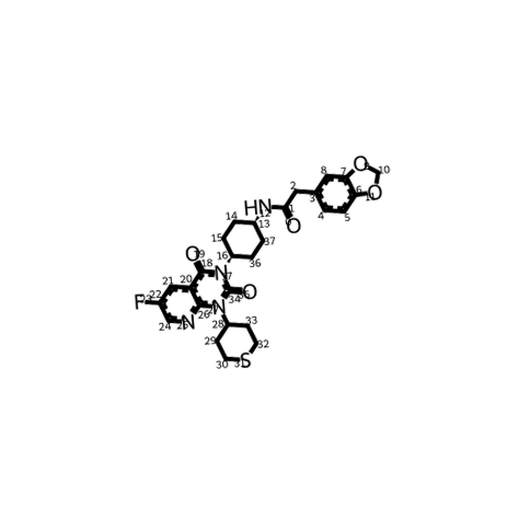 O=C(Cc1ccc2c(c1)OCO2)N[C@H]1CC[C@@H](n2c(=O)c3cc(F)cnc3n(C3CCSCC3)c2=O)CC1